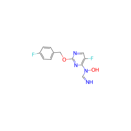 N=CN(O)c1nc(OCc2ccc(F)cc2)ncc1F